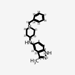 Cc1n[nH]c2ccc(NC3CCN(Cc4ccccc4)CC3)cc12